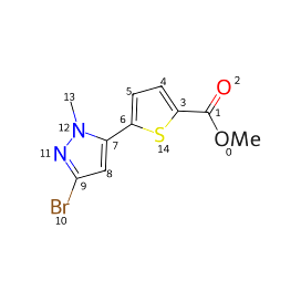 COC(=O)c1ccc(-c2cc(Br)nn2C)s1